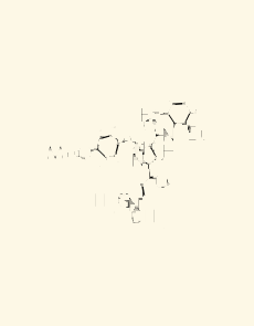 CCc1cccc(CC)c1NC(=O)c1cc(C(=O)C=CN(C)C)nn1Cc1ccc(OC)cc1